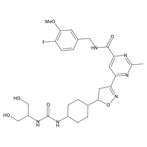 COc1cc(CNC(=O)c2cc(C3=NOC(C4CCC(NC(=O)NC(CO)CO)CC4)C3)nc(C)n2)ccc1F